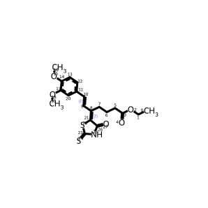 CCOC(=O)CCCC(/C=C/c1ccc(OC)c(OC)c1)=C1/SC(=S)NC1=O